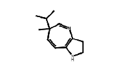 CC(C)C1(C)C=CC2=C(CCN2)N=C1